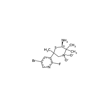 CC1(c2cc(Br)cnc2F)C[N+]([O-])([O-])C(C)(C)[C@H](N)S1